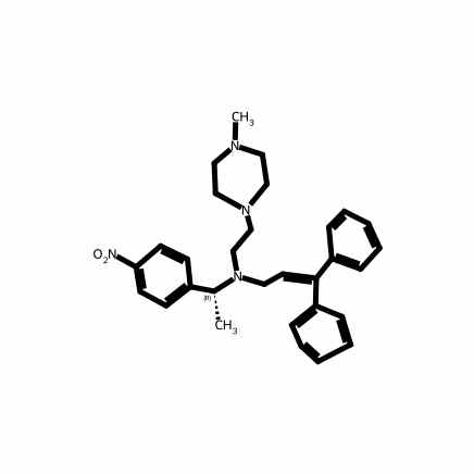 C[C@H](c1ccc([N+](=O)[O-])cc1)N(CC=C(c1ccccc1)c1ccccc1)CCN1CCN(C)CC1